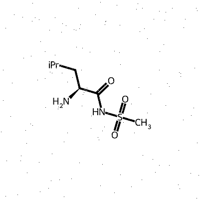 CC(C)C[C@H](N)C(=O)NS(C)(=O)=O